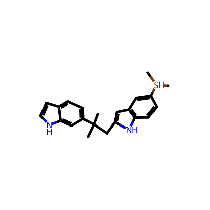 C[SH](C)c1ccc2[nH]c(CC(C)(C)c3ccc4cc[nH]c4c3)cc2c1